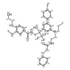 CCCN(CCNC(=O)OCc1ccccc1)c1cc(-c2ccc(F)cc2)nc(C(O)(CNC(=O)c2ccc(OCCO)c(OC)c2)C(F)(F)F)c1